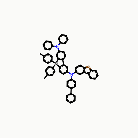 Cc1ccc([Si]2(c3ccc(C)cc3)c3ccc(N(c4ccc(-c5ccccc5)cc4)c4ccc5sc6ccccc6c5c4)cc3-c3ccc(N(c4ccccc4)c4ccccc4)cc32)cc1